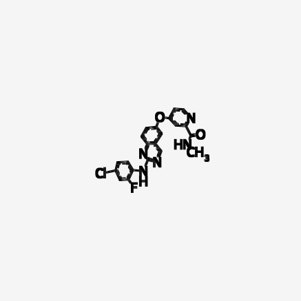 CNC(=O)c1cc(Oc2ccc3nc(Nc4ccc(Cl)cc4F)ncc3c2)ccn1